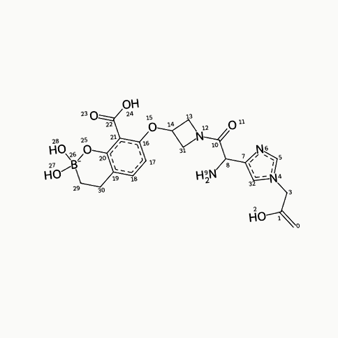 C=C(O)Cn1cnc(C(N)C(=O)N2CC(Oc3ccc4c(c3C(=O)O)O[B-](O)(O)CC4)C2)c1